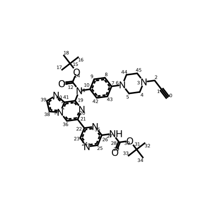 C#CCN1CCN(c2ccc(N(C(=O)OC(C)(C)C)c3nc(-c4cncc(NC(=O)OC(C)(C)C)n4)cn4ccnc34)cc2)CC1